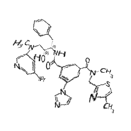 Cc1csc(CN(C)C(=O)c2cc(C(=O)N[C@@H](Cc3ccccc3)[C@H](O)CN(C)c3cncc(C(C)C)c3)cc(-n3ccnc3)c2)n1